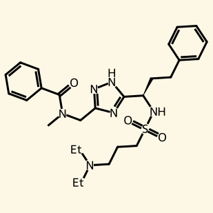 CCN(CC)CCCS(=O)(=O)N[C@H](CCc1ccccc1)c1nc(CN(C)C(=O)c2ccccc2)n[nH]1